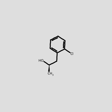 C[C@@H](O)Cc1ccccc1Cl